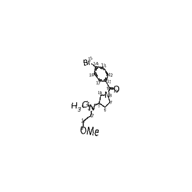 COCCN(C)C1CCN(C(=O)c2ccc(Br)cc2)C1